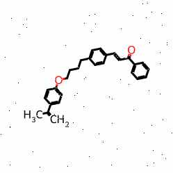 C=C(C)c1ccc(OCCCCc2ccc(C=CC(=O)c3ccccc3)cc2)cc1